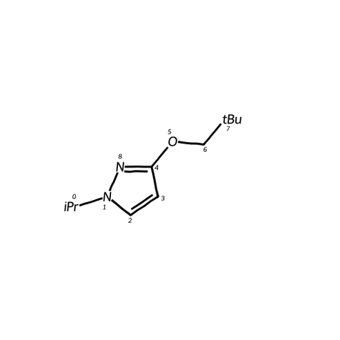 CC(C)n1ccc(OCC(C)(C)C)n1